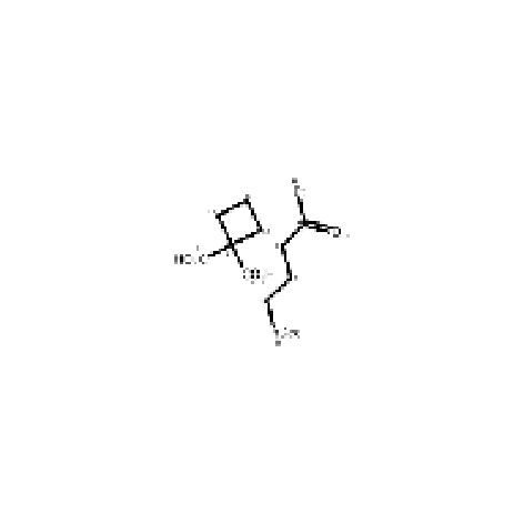 CCCCCCCCCCCCCC(=O)CC.O=C(O)C1(C(=O)O)CCC1